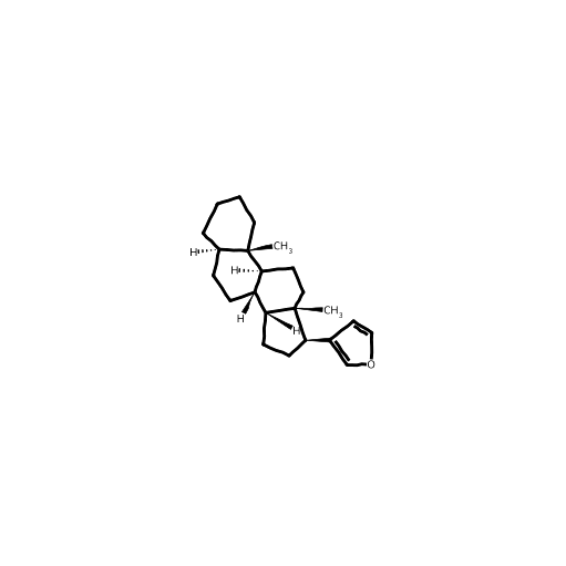 C[C@]12CCCC[C@@H]1CC[C@H]1[C@H]3CC[C@H](c4ccoc4)[C@@]3(C)CC[C@@H]12